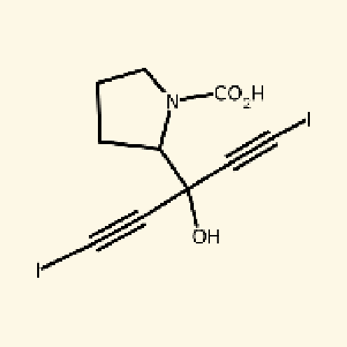 O=C(O)N1CCCC1C(O)(C#CI)C#CI